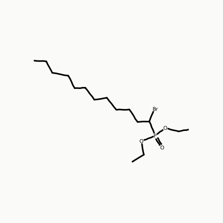 CCCCCCCCCCCC(Br)P(=O)(OCC)OCC